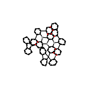 c1ccc(-c2cc3c4c(c2)N(c2c(-c5ccccc5)cccc2-c2ccccc2)c2cc5c(cc2B4c2ccc(-n4c6ccccc6c6ccccc64)cc2N3c2c(-c3ccccc3)cccc2-c2ccccc2)C2(c3ccccc3O5)c3ccccc3-c3ccccc32)cc1